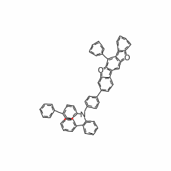 c1ccc(-c2ccc(N(c3ccc(-c4ccc5c(c4)oc4c(-c6ccccc6)c6c(cc45)oc4ccccc46)cc3)c3ccccc3-c3ccccc3)cc2)cc1